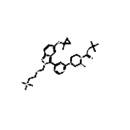 C[C@H]1CN(c2cc(-c3c4cc(OC5(C)CC5)ccc4nn3COCC[Si](C)(C)C)ncn2)CCN1C(=O)OC(C)(C)C